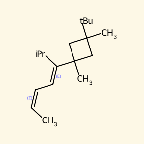 C/C=C\C=C(/C(C)C)C1(C)CC(C)(C(C)(C)C)C1